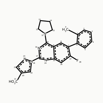 Cc1ccccc1-c1cc2c(N3CCCC3)nc(-n3cc(C(=O)O)cn3)nc2cc1F